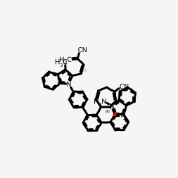 C=C(C#N)/C=C\c1c(C)c2ccccc2n1-c1ccc(-c2cccc(-c3cccc4c5ccccc5n(N)c34)c2C2C=CCC(C#N)=C[C@@H]2C)cc1